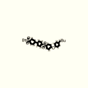 CCC(C)c1ccc(Oc2ccc(S(=O)(=O)c3ccc(-c4ccc(S(=O)(=O)CC)cc4)cc3)cc2)cc1